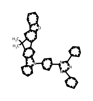 CC1(C)c2cc3c(cc2-c2cc4c(cc21)c1ccccc1n4-c1ccc(-c2nc(-c4ccccc4)nc(-c4ccccc4)n2)cc1)oc1ccccc13